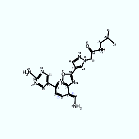 C=C(/C=C\C(=C/N)c1noc(-c2cnn(CC(=O)NCC(C)C)c2)n1)c1cnc(N)nc1